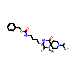 CCCC(=S)N1CCC2(CC1)C(=O)N[C@@H](CCCCNC(=O)OCc1ccccc1)C(=O)N2CCC